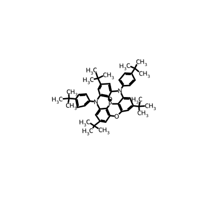 CC(C)(C)c1ccc(N2c3cc(C(C)(C)C)cc4c3P3(=O)c5c(cc(C(C)(C)C)cc5N(c5ccc(C(C)(C)C)cc5)c5cc(C(C)(C)C)cc2c53)O4)cc1